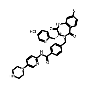 Cl.O=C(Nc1ccc(N2CCNCC2)cn1)c1ccc(CN2C(=O)c3ccc(Cl)cc3NC(=O)[C@H]2Cc2ccccn2)cc1